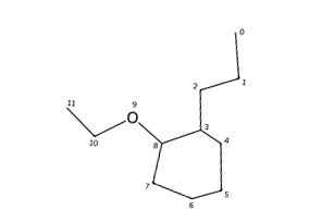 CCCC1CCCCC1OCC